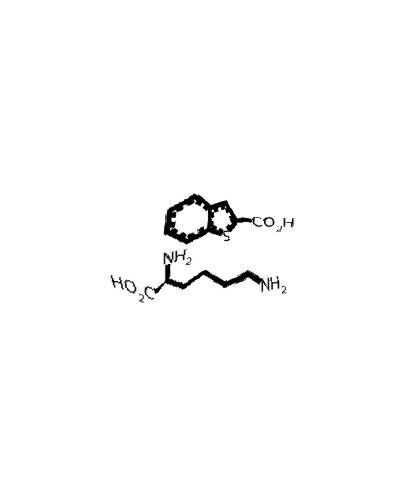 NCCCC[C@H](N)C(=O)O.O=C(O)c1cc2ccccc2s1